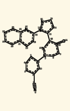 N#Cc1cccc(-n2ccc(=O)c(-c3ccnn3-c3ccc4ccccc4n3)n2)c1